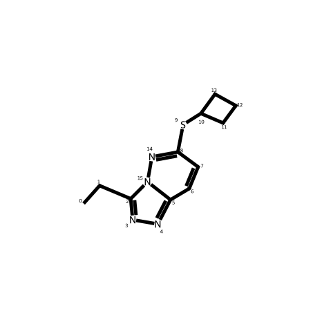 CCc1nnc2ccc(SC3CCC3)nn12